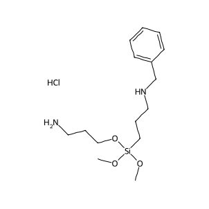 CO[Si](CCCNCc1ccccc1)(OC)OCCCN.Cl